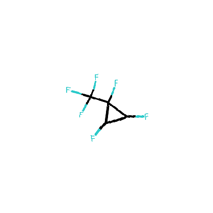 FC1C(F)C1(F)C(F)(F)F